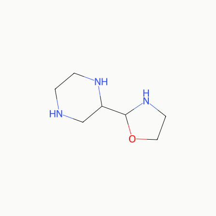 C1CNC(C2NCCO2)CN1